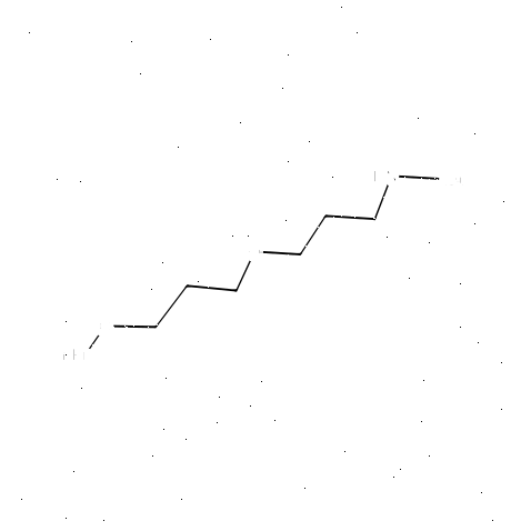 CCCOCCCOCCCNC(C)(C)C